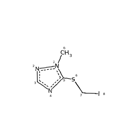 Cn1ncnc1SCI